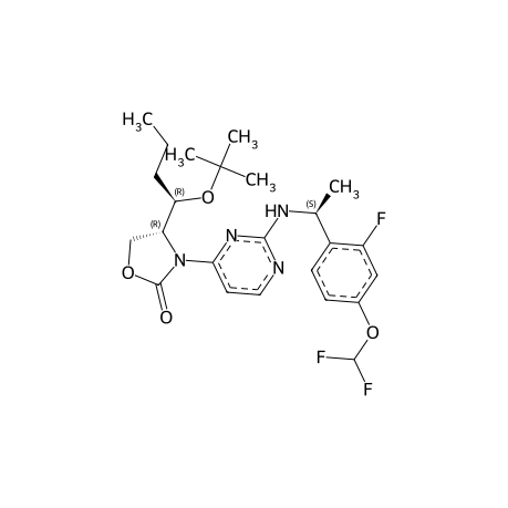 CCC[C@@H](OC(C)(C)C)[C@H]1COC(=O)N1c1ccnc(N[C@@H](C)c2ccc(OC(F)F)cc2F)n1